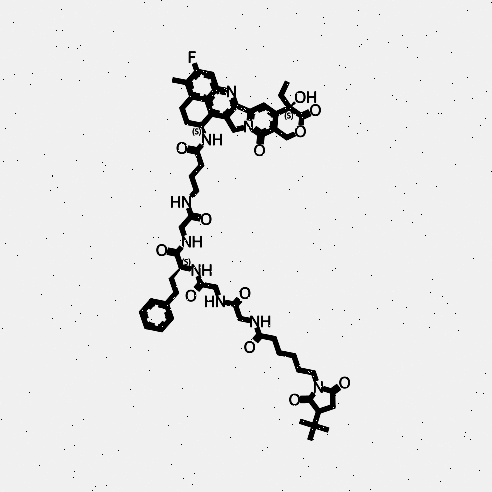 CC[C@@]1(O)C(=O)OCc2c1cc1n(c2=O)Cc2c-1nc1cc(F)c(C)c3c1c2[C@@H](NC(=O)CCCNC(=O)CNC(=O)[C@H](CCc1ccccc1)NC(=O)CNC(=O)CNC(=O)CCCCCN1C(=O)CC(C(C)(C)C)C1=O)CC3